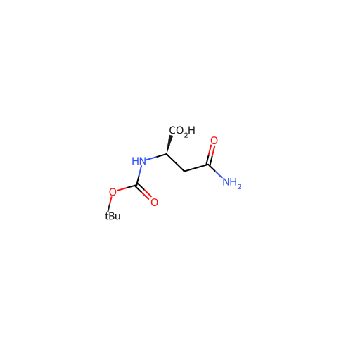 CC(C)(C)OC(=O)N[C@H](CC(N)=O)C(=O)O